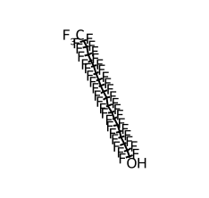 OC(F)(F)C(F)(F)C(F)(F)C(F)(F)C(F)(F)C(F)(F)C(F)(F)C(F)(F)C(F)(F)C(F)(F)C(F)(F)C(F)(F)C(F)(F)C(F)(F)C(F)(F)C(F)(F)C(F)(F)C(F)(F)C(F)(F)C(F)(F)F